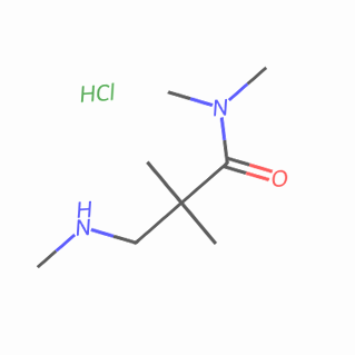 CNCC(C)(C)C(=O)N(C)C.Cl